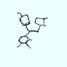 CC(C)(C)c1ccc(/C(=C\[C@H]2CCC(=O)N2)c2ccc(Cl)c(=O)[nH]2)cc1